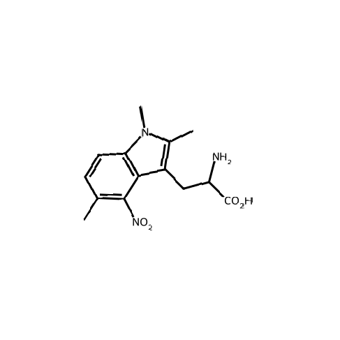 Cc1ccc2c(c(CC(N)C(=O)O)c(C)n2C)c1[N+](=O)[O-]